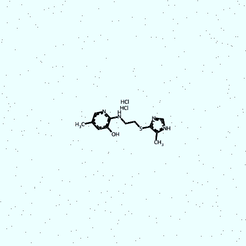 Cc1cnc(NCCSc2nc[nH]c2C)c(O)c1.Cl.Cl